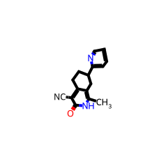 Cc1[nH]c(=O)c(C#N)c2c1CC(c1ccccn1)CC2